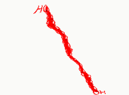 O=C(OCCOCCOCCOCCOCCOCCOCCOCCOCCOCCOCCOCCOCCOCCO)OCCOCCOCCOCCOCCOCCOCCOCCOCCOCCOCCOCCOCCOCCO